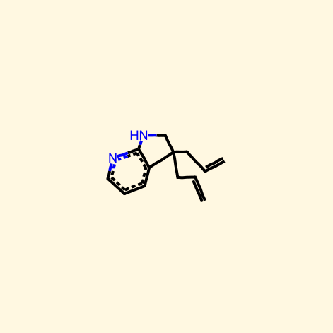 C=CCC1(CC=C)CNc2ncccc21